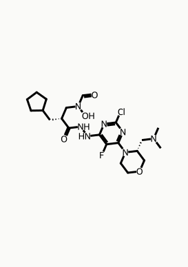 CN(C)C[C@@H]1COCCN1c1nc(Cl)nc(NNC(=O)[C@H](CC2CCCC2)CN(O)C=O)c1F